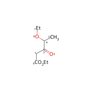 CCOC(=O)CC(=O)C(C)OCC